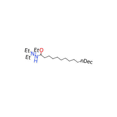 CCCCCCCCCCCCCCCCCCCC(=O)N[N+](CC)(CC)CC